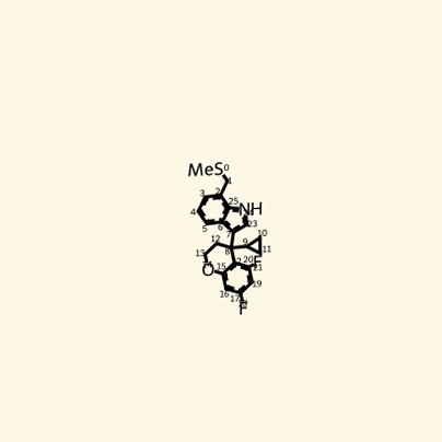 CSCc1cccc2c(C3(C4CC4)CCOc4cc(F)cc(F)c43)c[nH]c12